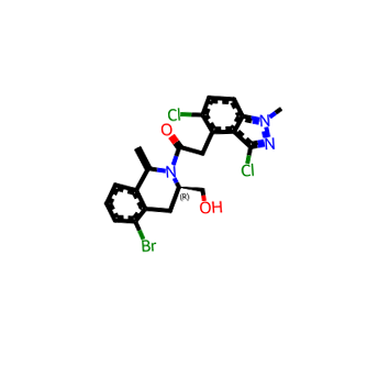 C=C1c2cccc(Br)c2C[C@H](CO)N1C(=O)Cc1c(Cl)ccc2c1c(Cl)nn2C